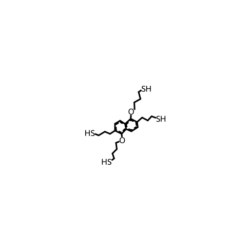 SCCCCOc1c(CCCS)ccc2c(OCCCCS)c(CCCS)ccc12